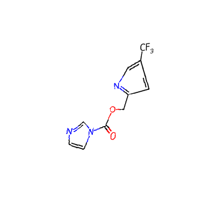 O=C(OCc1ccc(C(F)(F)F)cn1)n1ccnc1